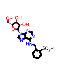 O=S(=O)(O)c1ccccc1CNc1ncnc2c1ncn2C1O[C@H](CO)[C@@H](O)[C@H]1O